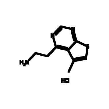 Cc1csc2ncnc(CCN)c12.Cl